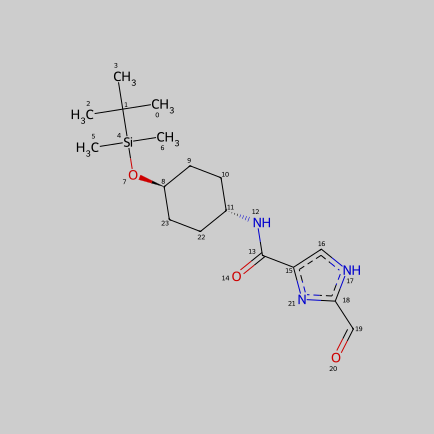 CC(C)(C)[Si](C)(C)O[C@H]1CC[C@H](NC(=O)c2c[nH]c(C=O)n2)CC1